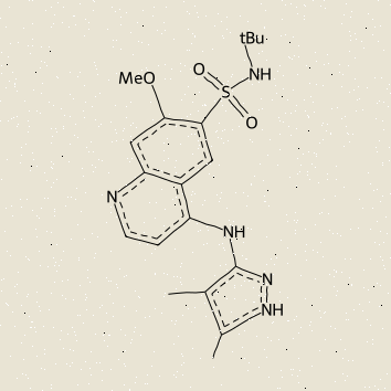 COc1cc2nccc(Nc3n[nH]c(C)c3C)c2cc1S(=O)(=O)NC(C)(C)C